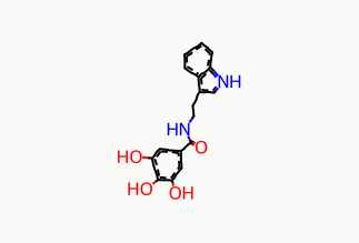 O=C(NCCc1c[nH]c2ccccc12)c1cc(O)c(O)c(O)c1